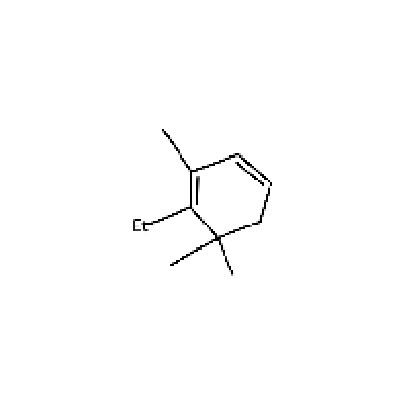 CCC1=C(C)C=CCC1(C)C